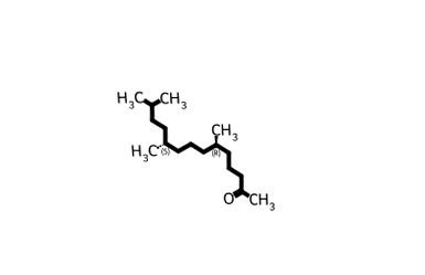 CC(=O)CCC[C@H](C)CCC[C@H](C)CCC(C)C